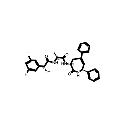 C[C@H](NC(=O)[C@H](O)c1cc(F)cc(F)c1)C(=O)N[C@H]1CC(c2ccccc2)=C[C@@H](c2ccccc2)NC1=O